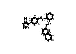 c1ccc(OCc2ccc3ccccc3n2)c(OCc2ccc(-c3nnn[nH]3)cc2)c1